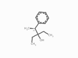 CCC(O)(CC)[C@@H](C)c1ccccc1